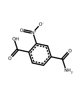 NC(=O)c1ccc(C(=O)O)c([N+](=O)[O-])c1